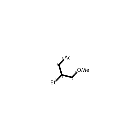 CCC(COC)CC(C)=O